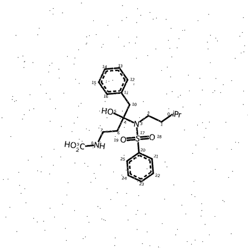 CC(C)CCN(C(O)(CCNC(=O)O)Cc1ccccc1)S(=O)(=O)c1ccccc1